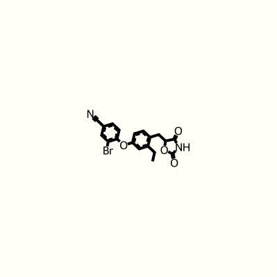 CCc1cc(Oc2ccc(C#N)cc2Br)ccc1CC1OC(=O)NC1=O